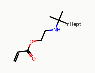 C=CC(=O)OCCNC(C)(C)CCCCCCC